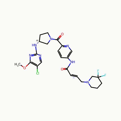 COc1nc(N[C@@H]2CCN(C(=O)c3ccc(NC(=O)/C=C/CN4CCCC(F)(F)C4)cn3)C2)ncc1Cl